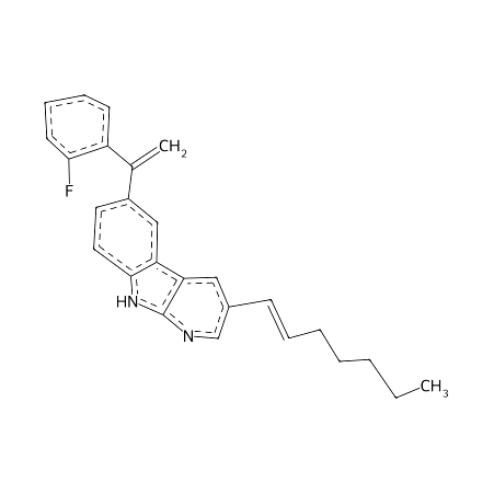 C=C(c1ccc2[nH]c3ncc(C=CCCCCC)cc3c2c1)c1ccccc1F